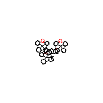 c1ccc(C2(c3ccccc3)c3ccccc3Oc3cccc(-c4cccc5c(-c6cccc7c6C6(c8ccccc8-c8ccccc86)c6ccccc6-7)c6cccc(-c7cccc8c7C(c7ccccc7)(c7ccccc7)c7ccccc7O8)c6cc45)c32)cc1